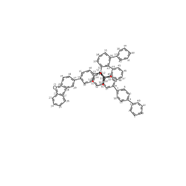 c1ccc(-c2ccc(-c3ccc(N(c4ccc(-c5ccc6oc7ccccc7c6c5)cc4)c4cccc(-c5ccccc5)c4-c4ccccc4-c4ccccc4)cc3)cc2)cc1